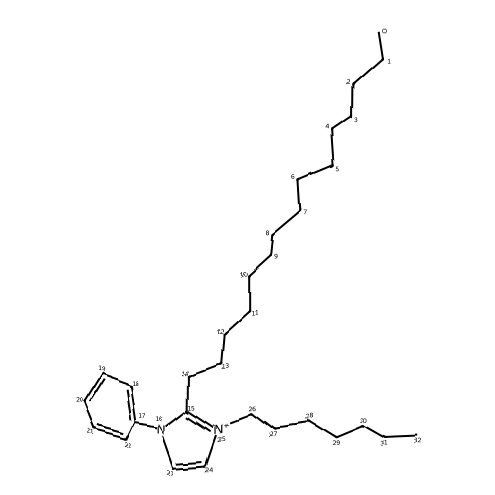 CCCCCCCCCCCCCCCc1n(-c2ccccc2)cc[n+]1CCCCCCC